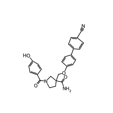 N#Cc1ccc(-c2ccc(OCC3(C(N)=O)CCN(C(=O)c4ccc(O)cc4)C3)cc2)cc1